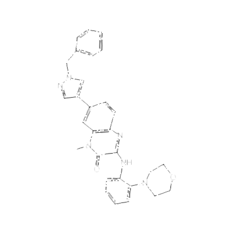 Cn1c(=O)c(Nc2ccccc2N2CCOCC2)nc2ccc(-c3cnn(Cc4ccccc4)c3)cc21